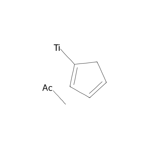 CC(C)=O.[Ti][C]1=CC=CC1